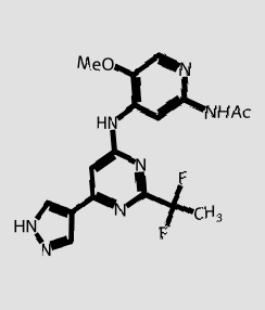 COc1cnc(NC(C)=O)cc1Nc1cc(-c2cn[nH]c2)nc(C(C)(F)F)n1